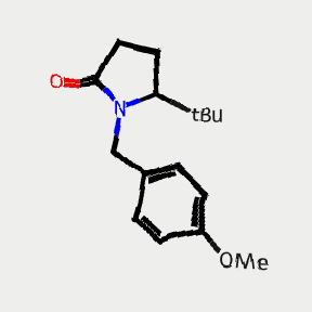 COc1ccc(CN2C(=O)CCC2C(C)(C)C)cc1